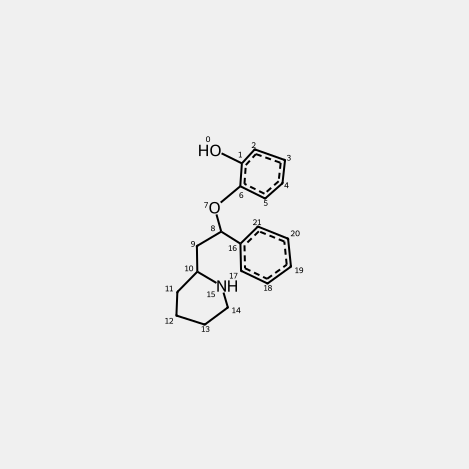 Oc1ccccc1OC(CC1CCCCN1)c1ccccc1